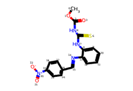 COC(=O)NC(=S)Nc1ccccc1/N=C/c1ccc([N+](=O)[O-])cc1